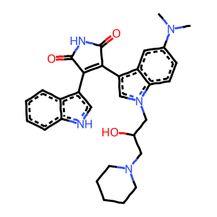 CN(C)c1ccc2c(c1)c(C1=C(c3c[nH]c4ccccc34)C(=O)NC1=O)cn2CC(O)CN1CCCCC1